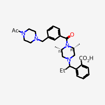 CCC(c1ccccc1C(=O)O)N1C[C@@H](C)N(C(=O)c2cccc(CN3CCN(C(C)=O)CC3)c2)[C@@H](C)C1